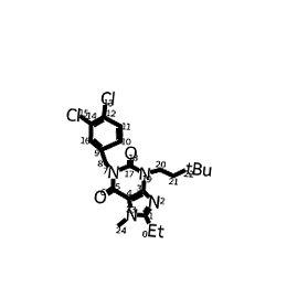 CCc1nc2c(c(=O)n(Cc3ccc(Cl)c(Cl)c3)c(=O)n2CCC(C)(C)C)n1C